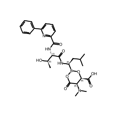 CC(C)C[C@H](NC(=O)[C@@H](NC(=O)c1cccc(-c2ccccc2)n1)[C@@H](C)O)B1OC(=O)[C@H](N(C)C)[C@H](C(=O)O)O1